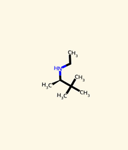 CCN[C@H](C)C(C)(C)C